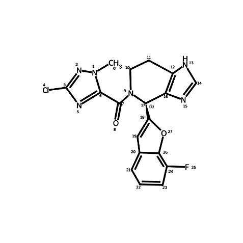 Cn1nc(Cl)nc1C(=O)N1CCc2[nH]cnc2[C@H]1c1cc2cccc(F)c2o1